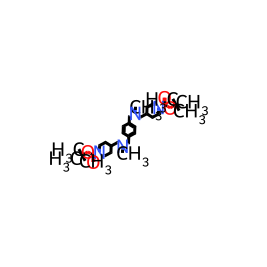 CN(Cc1ccc(CN(C)CC2CCN(C(=O)OC(C)(C)C)CC2)cc1)CC1CCN(C(=O)OC(C)(C)C)CC1